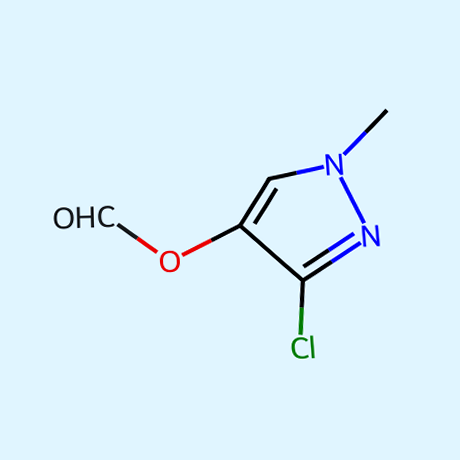 Cn1cc(OC=O)c(Cl)n1